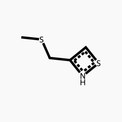 CSCc1cs[nH]1